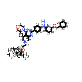 CC1COCCN1c1nc(-c2ccc(Nc3cccc(OCc4ccccc4)n3)cc2)nc2c1CCN(CCO[Si](C)(C)C(C)(C)C)C2